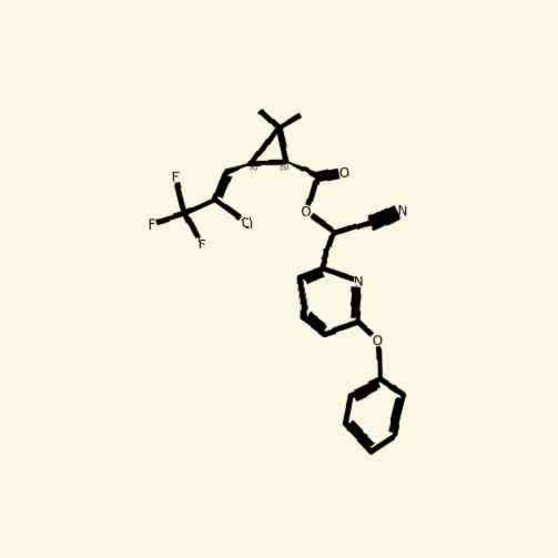 CC1(C)[C@H](C=C(Cl)C(F)(F)F)[C@@H]1C(=O)OC(C#N)c1cccc(Oc2ccccc2)n1